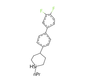 CCC[SiH]1CCC(c2ccc(-c3ccc(F)c(F)c3)cc2)CC1